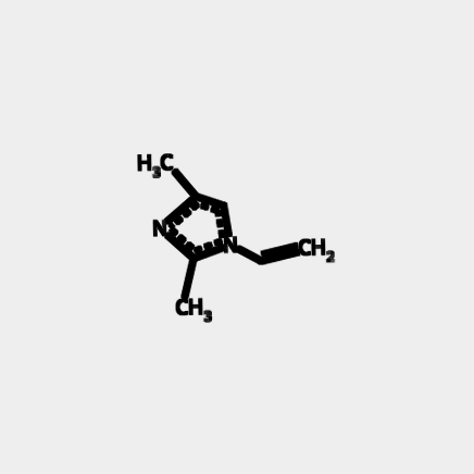 C=Cn1cc(C)nc1C